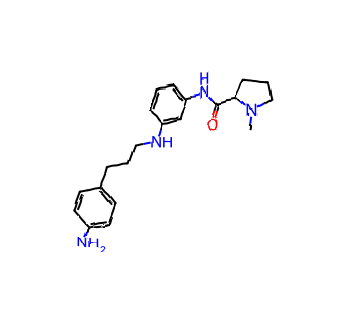 CN1CCCC1C(=O)Nc1cccc(NCCCc2ccc(N)cc2)c1